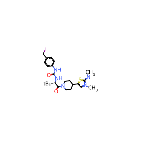 C/N=c1\sc(C2CCN(C(=O)[C@H](NC(=O)Nc3ccc(CI)cc3)C(C)(C)C)CC2)cn1C